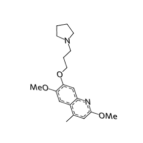 COc1cc(C)c2cc(OC)c(OCCCN3CCCC3)cc2n1